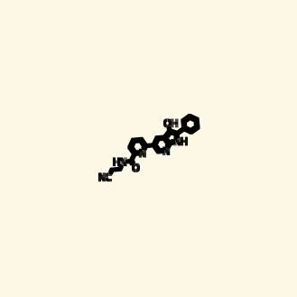 N#CCCNC(=O)c1cccc(-c2cnc3[nH]c(-c4ccccc4)c(O)c3c2)n1